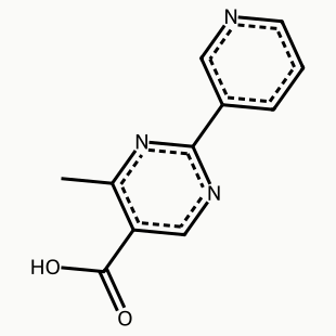 Cc1nc(-c2cccnc2)ncc1C(=O)O